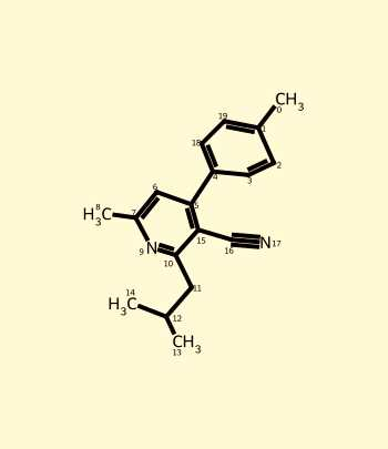 Cc1ccc(-c2cc(C)nc(CC(C)C)c2C#N)cc1